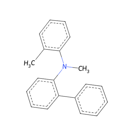 Cc1ccccc1N(C)c1ccccc1-c1ccccc1